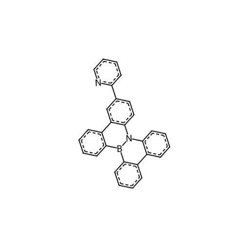 c1ccc(-c2ccc3c(c2)-c2ccccc2B2c4ccccc4-c4ccccc4N23)nc1